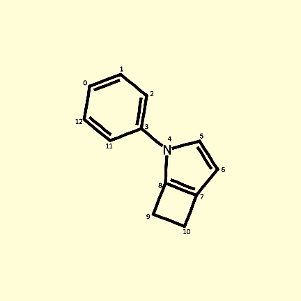 c1ccc(-n2ccc3c2CC3)cc1